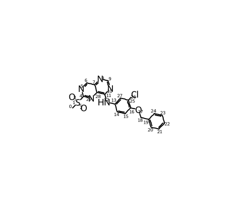 CS(=O)(=O)c1ncc2ncnc(Nc3ccc(OCc4ccccc4)c(Cl)c3)c2n1